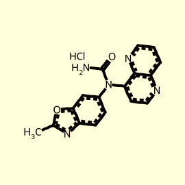 Cc1nc2ccc(N(C(N)=O)c3ccnc4cccnc34)cc2o1.Cl